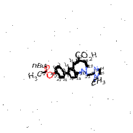 CCCCOC(C)Oc1ccc(-c2ccc3c(c2)C=C(C(=O)O)CCN3Cc2nccn2C)cc1